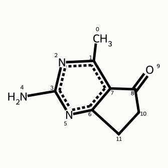 Cc1nc(N)nc2c1C(=O)CC2